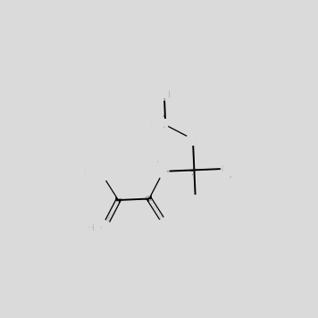 C=C(C)C(=O)OC([SiH3])(CC)O[SiH2]C